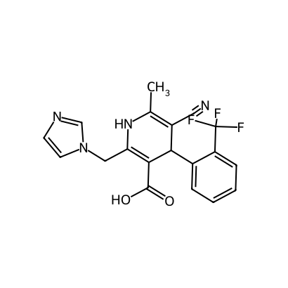 CC1=C(C#N)C(c2ccccc2C(F)(F)F)C(C(=O)O)=C(Cn2ccnc2)N1